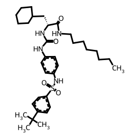 CCCCCCCCNC(=O)[C@@H](CC1CCCCC1)NC(=O)Nc1ccc(NS(=O)(=O)c2ccc(C(C)(C)C)cc2)cc1